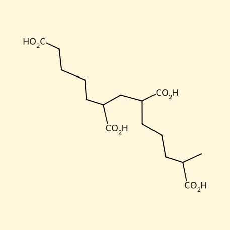 CC(CCCC(CC(CCCCC(=O)O)C(=O)O)C(=O)O)C(=O)O